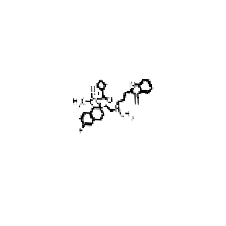 CC(C)[C@H]1c2ccc(F)cc2CC[C@@]1(CCN(C)CCCc1nc2ccccc2[nH]1)OC(=O)C1CCC1